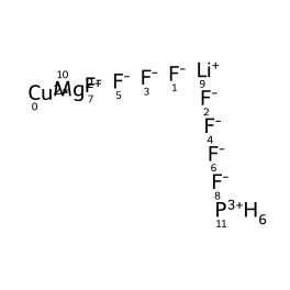 [Cu+2].[F-].[F-].[F-].[F-].[F-].[F-].[F-].[F-].[Li+].[Mg+2].[PH6+3]